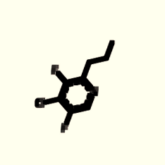 CCCc1ncc(F)c(Cl)c1F